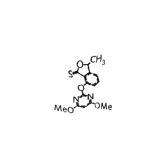 COc1cc(OC)nc(Oc2cccc3c2C(=S)OC3C)n1